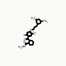 C=C1CC(C)CC(CCCOc2cc(F)c(C(=O)C3CCCCC3C(=O)OC)cc2Cl)C1